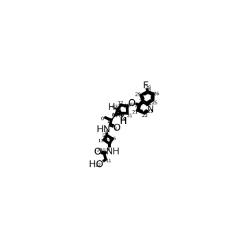 CC(C(=O)NC12CC(NC(=O)CO)(C1)C2)[C@H]1[C@@H]2C[C@H](Oc3ccnc4ccc(F)cc34)C[C@@H]21